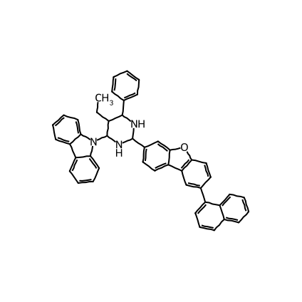 CCC1C(c2ccccc2)NC(c2ccc3c(c2)oc2ccc(-c4cccc5ccccc45)cc23)NC1n1c2ccccc2c2ccccc21